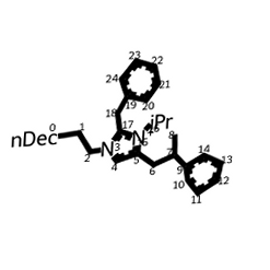 CCCCCCCCCCCCn1cc(CC(C)c2ccccc2)[n+](C(C)C)c1Cc1ccccc1